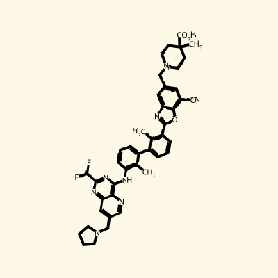 Cc1c(Nc2nc(C(F)F)nc3cc(CN4CCCC4)cnc23)cccc1-c1cccc(-c2nc3cc(CN4CCC(C)(C(=O)O)CC4)cc(C#N)c3o2)c1C